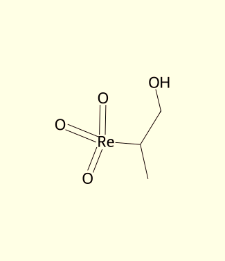 C[CH](CO)[Re](=[O])(=[O])=[O]